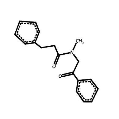 CN(CC(=O)c1ccccc1)C(=O)CCc1ccccc1